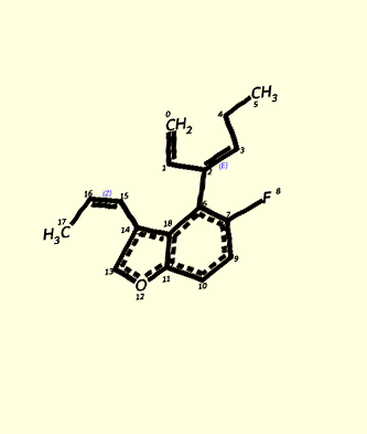 C=C/C(=C\CC)c1c(F)ccc2occ(/C=C\C)c12